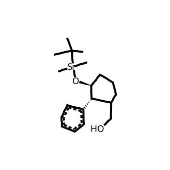 CC(C)(C)[Si](C)(C)O[C@H]1CCCC(CO)[C@@H]1c1ccccc1